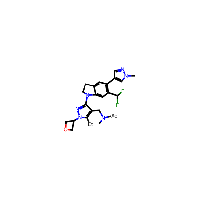 CCc1c(CN(C)C(C)=O)c(N2CCc3cc(-c4cnn(C)c4)c(C(F)F)cc32)nn1C1COC1